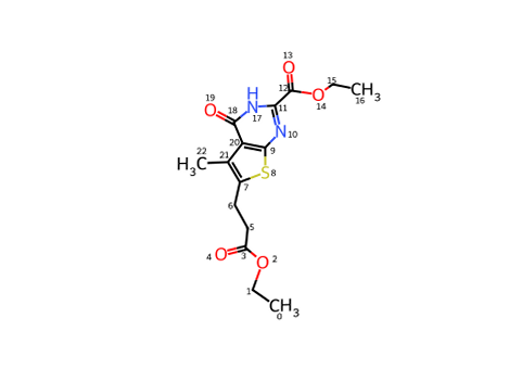 CCOC(=O)CCc1sc2nc(C(=O)OCC)[nH]c(=O)c2c1C